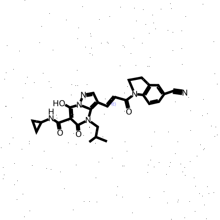 CC(C)Cn1c(=O)c(C(=O)NC2CC2)c(O)n2ncc(/C=C/C(=O)N3CCc4cc(C#N)ccc43)c12